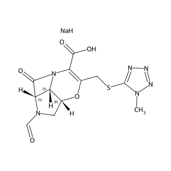 Cn1nnnc1SCC1=C(C(=O)O)N2C(=O)[C@@H]3[C@H]2[C@@H](CN3C=O)O1.[NaH]